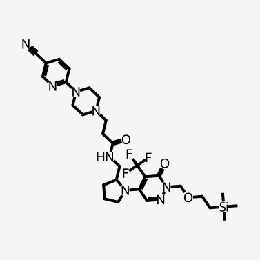 C[Si](C)(C)CCOCn1ncc(N2CCCC2CNC(=O)CCN2CCN(c3ccc(C#N)cn3)CC2)c(C(F)(F)F)c1=O